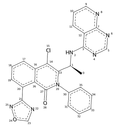 C[C@H](Nc1ncnc2ncccc12)c1c(Cl)c2cccc(-c3ncon3)c2c(=O)n1-c1ccccc1